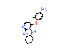 Nc1ccc(Oc2ccnc(N)c2NC2CCCCC2)c(F)c1